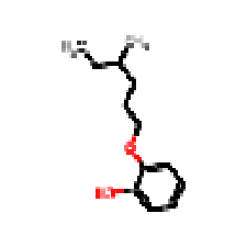 CCC(C)CCCOc1ccccc1O